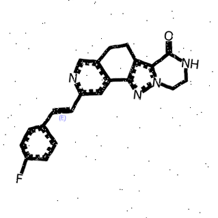 O=C1NCCn2nc3c(c21)CCc1cnc(/C=C/c2ccc(F)cc2)cc1-3